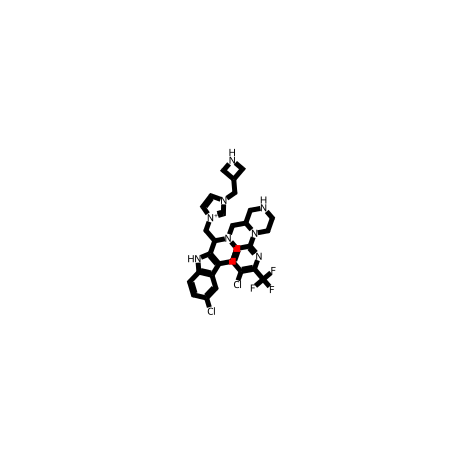 FC(F)(F)c1nc(N2CCNCC2CN2CCc3c([nH]c4ccc(Cl)cc34)C2C[n+]2ccn(CC3CNC3)c2)ccc1Cl